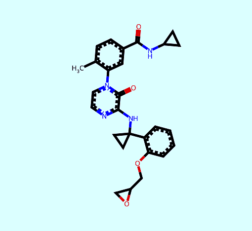 Cc1ccc(C(=O)NC2CC2)cc1-n1ccnc(NC2(c3ccccc3OCC3CO3)CC2)c1=O